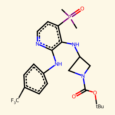 CC(C)(C)OC(=O)N1CC(Nc2c(P(C)(C)=O)ccnc2Nc2ccc(C(F)(F)F)cc2)C1